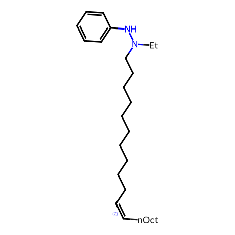 CCCCCCCC/C=C\CCCCCCCCCCN(CC)Nc1ccccc1